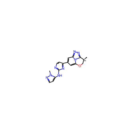 C[C@H]1COc2cc(-c3ccnc(Nc4ccnn4C)n3)cc3nnc1n23